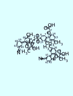 CCS(=O)(=O)c1ccc(-c2cc(C)ccc2OCC(=O)O)c(C)c1.Cc1ccc(O[C@@H](C)C(=O)O)c(-c2cc(C#N)ccc2F)c1.Cc1ccc(O[C@@H](C)C(=O)O)c(-c2cccc(C#N)c2)c1